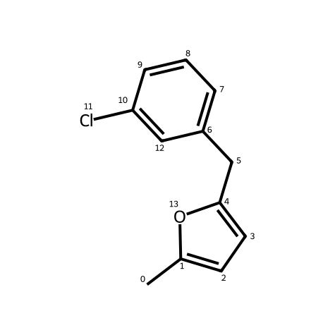 Cc1ccc(Cc2cccc(Cl)c2)o1